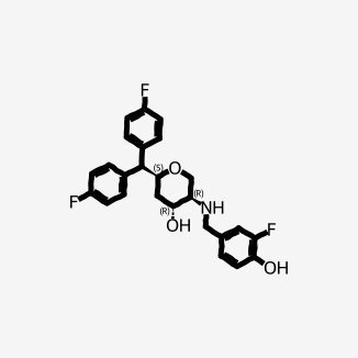 Oc1ccc(CN[C@@H]2CO[C@H](C(c3ccc(F)cc3)c3ccc(F)cc3)C[C@H]2O)cc1F